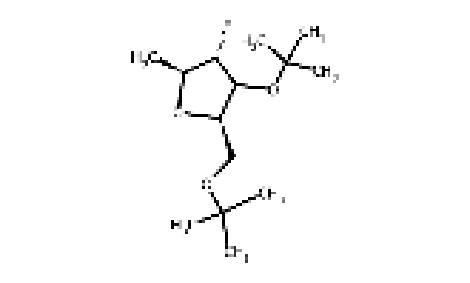 C[C@@H]1O[C@H](COC(C)(C)C)C(OC(C)(C)C)[C@H]1F